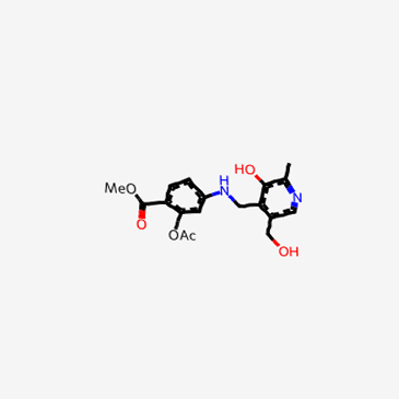 COC(=O)c1ccc(NCc2c(CO)cnc(C)c2O)cc1OC(C)=O